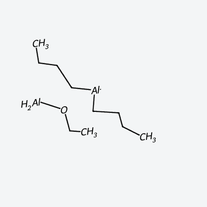 CCC[CH2][Al][CH2]CCC.CC[O][AlH2]